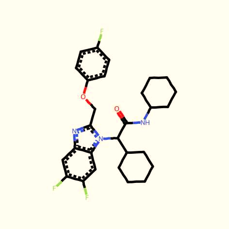 O=C(NC1CCCCC1)C(C1CCCCC1)n1c(COc2ccc(F)cc2)nc2cc(F)c(F)cc21